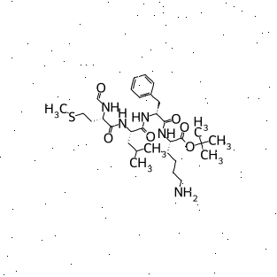 CSCC[C@H](NC=O)C(=O)N[C@@H](CC(C)C)C(=O)N[C@@H](Cc1ccccc1)C(=O)N[C@@H](CCCCN)C(=O)OC(C)(C)C